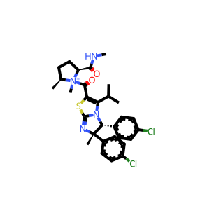 CNC(=O)[C@@H]1CC[C@H](C)[N+]1(C)C(=O)C1=C(C(C)C)N2C(=N[C@@](C)(c3ccc(Cl)cc3)[C@H]2c2ccc(Cl)cc2)S1